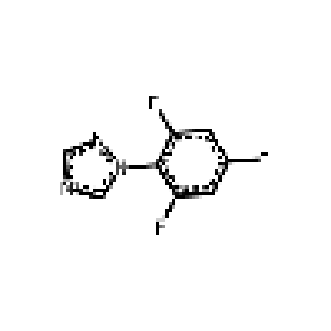 Fc1[c]c(F)c(-n2cncn2)c(F)c1